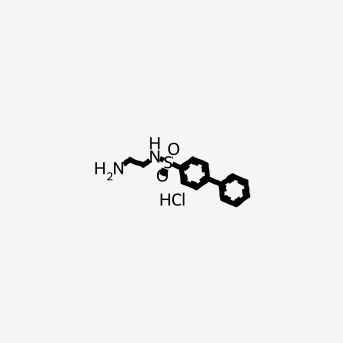 Cl.NCCNS(=O)(=O)c1ccc(-c2ccccc2)cc1